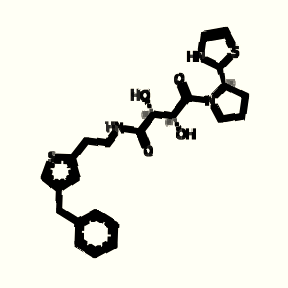 O=C(NCCc1cc(Cc2ccccc2)cs1)[C@H](O)[C@@H](O)C(=O)N1CCC[C@@H]1C1NC=CS1